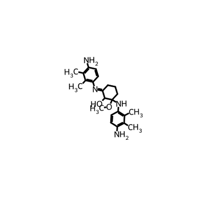 COC1(Nc2ccc(N)c(C)c2C)CCCC(=Nc2ccc(N)c(C)c2C)C1O